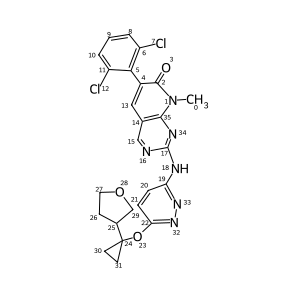 Cn1c(=O)c(-c2c(Cl)cccc2Cl)cc2cnc(Nc3ccc(OC4(C5CCOC5)CC4)nn3)nc21